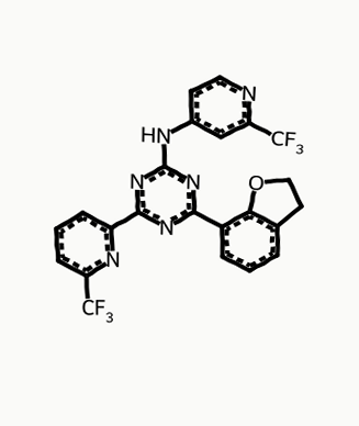 FC(F)(F)c1cc(Nc2nc(-c3cccc(C(F)(F)F)n3)nc(-c3cccc4c3OCC4)n2)ccn1